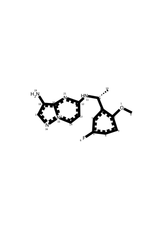 COc1ccc(F)cc1[C@@H](C)Nc1ccn2ncc(N)c2n1